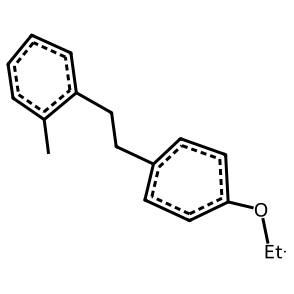 C[CH]Oc1ccc(CCc2ccccc2C)cc1